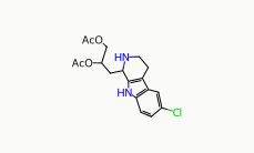 CC(=O)OCC(CC1NCCc2c1[nH]c1ccc(Cl)cc21)OC(C)=O